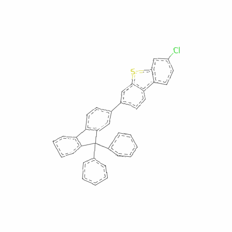 Clc1ccc2c(c1)sc1cc(-c3ccc4c(c3)C(c3ccccc3)(c3ccccc3)c3ccccc3-4)ccc12